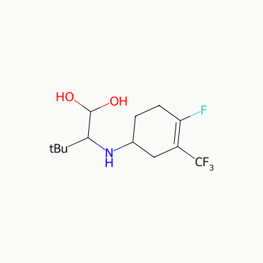 CC(C)(C)C(NC1CCC(F)=C(C(F)(F)F)C1)C(O)O